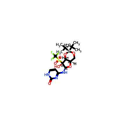 CC(C)(C)[Si]1(C(C)(C)C)OC[C@H]2O[C@@H](Nc3cc[nH]c(=O)n3)[C@](O)(S(=O)(=O)C(F)(F)F)[C@@H]2O1